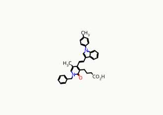 Cc1ccc(-n2cc(/C=C/c3c(C)cn(Cc4ccccc4)c(=O)c3CCCC(=O)O)c3ccccc32)cc1